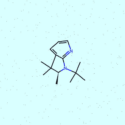 C[C@@H]1N(C(C)(C)C)c2ncccc2C1(C)C